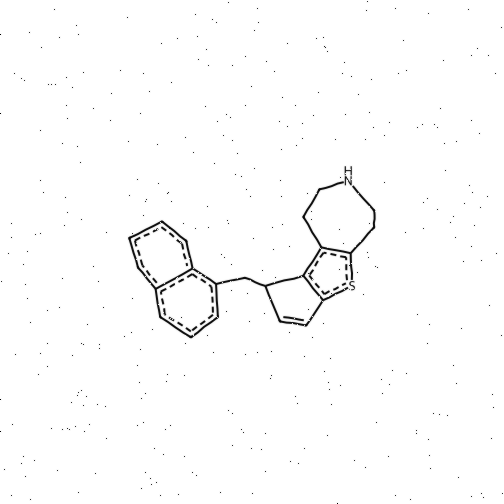 C1=CC(Cc2cccc3ccccc23)c2c1sc1c2CCNCC1